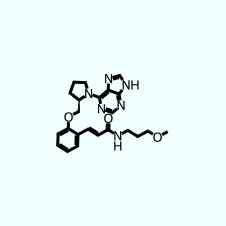 COCCCNC(=O)/C=C/c1ccccc1OC[C@H]1CCCN1c1ncnc2[nH]cnc12